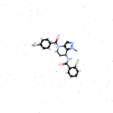 Cn1ncc2c1C(NC(=O)c1ccccc1Cl)CCN2C(=O)c1ccc(C#N)cc1